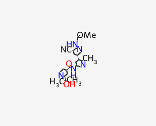 COCCNc1ncc(-c2cc(NC(=O)c3ccnc(C(C)(C)O)c3)cnc2C)cc1C#N